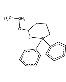 C[SiH2]OC1CCC[Si](c2ccccc2)(c2ccccc2)O1